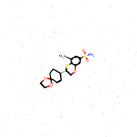 NS(=O)(=O)c1cc2c(c([N+](=O)[O-])c1)S[C@@H](C1CCC3(CC1)OCCO3)CO2